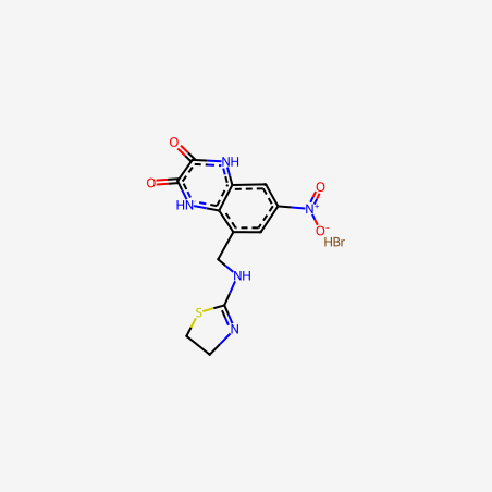 Br.O=c1[nH]c2cc([N+](=O)[O-])cc(CNC3=NCCS3)c2[nH]c1=O